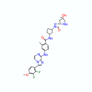 COc1ccc(-c2cnc3c(Nc4ccc(C(=O)NC5CCC(NC(=O)[C@@H]6C[C@@H](O)CN6)C5)c(C)c4)nccn23)c(F)c1F